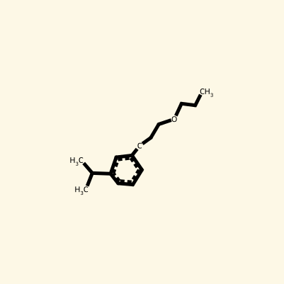 CCCOCCCc1cccc(C(C)C)c1